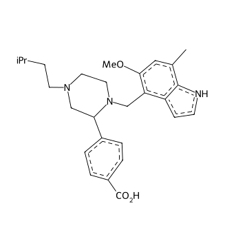 COc1cc(C)c2[nH]ccc2c1CN1CCN(CCC(C)C)CC1c1ccc(C(=O)O)cc1